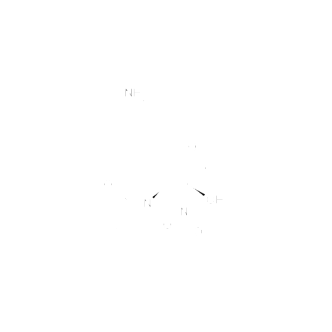 CC1(C)Oc2cc(N)ccc2[C@H](N2CCCC2=O)[C@@]1(O)[N+](=O)[O-]